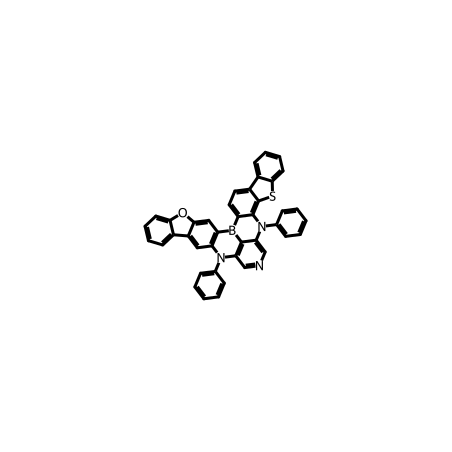 c1ccc(N2c3cc4c(cc3B3c5ccc6c(sc7ccccc76)c5N(c5ccccc5)c5cncc2c53)oc2ccccc24)cc1